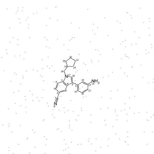 N#Cc1ccc2c(c1)c(-c1cccc(N)c1)cn2CC1CCCC1